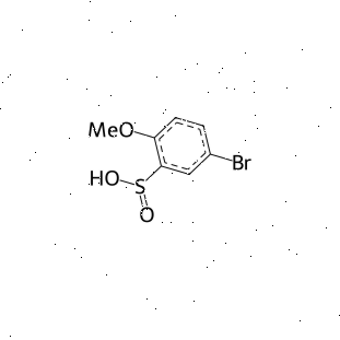 COc1ccc(Br)cc1S(=O)O